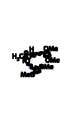 COc1ccc(OC)c(/C=C/CON=C(C)C(=O)ONOC/C=C/c2cc(OC)ccc2OC)c1